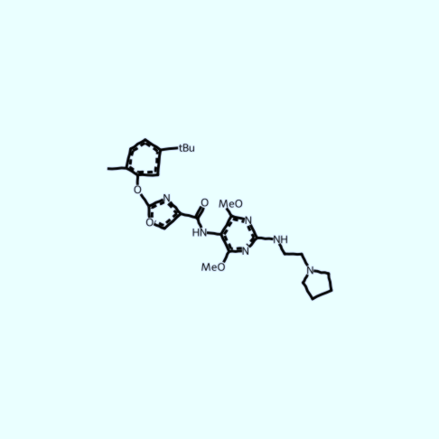 COc1nc(NCCN2CCCC2)nc(OC)c1NC(=O)c1coc(Oc2cc(C(C)(C)C)ccc2C)n1